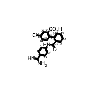 N=C(N)c1ccc(NC(=O)c2ccccc2-c2ccc(Cl)cc2C(=O)O)cc1